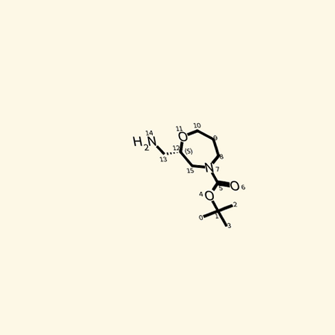 CC(C)(C)OC(=O)N1CCCO[C@@H](CN)C1